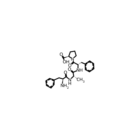 C[C@H](NC(=O)[C@@H](N)Cc1ccccc1)C(=O)N[C@@H](Cc1ccccc1)C(=O)N1CCC[C@@H]1C(=O)O